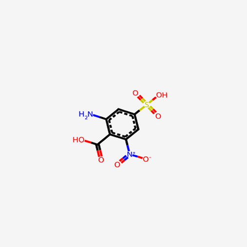 Nc1cc(S(=O)(=O)O)cc([N+](=O)[O-])c1C(=O)O